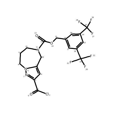 O=C(Cl)c1cc2n(n1)CCCN(C(=O)OCc1cc(C(F)(F)F)cc(C(F)(F)F)c1)C2